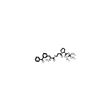 CC(C)(C)OC(=O)[C@@H]1CCCN1C(=O)CCSC(=O)[C@@H](N)Cc1cccc(C(=O)c2ccccc2)c1